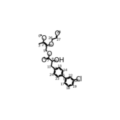 CO/C(C)=C(/COC(=O)C(O)Cc1ccc(-c2cccc(Cl)c2)cc1)OCC=O